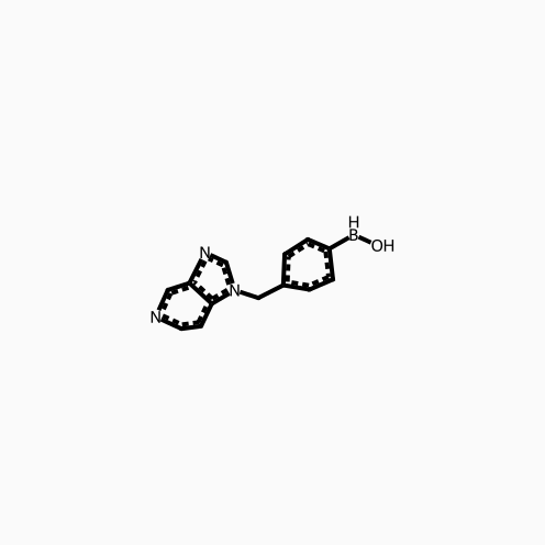 OBc1ccc(Cn2cnc3cnccc32)cc1